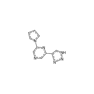 c1ccn(-c2cncc(-c3c[nH]nn3)n2)c1